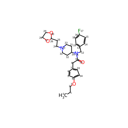 CCCOc1ccc(CC(=O)N(Cc2ccc(F)cc2)C2CCN(CCC3OCCO3)CC2)cc1